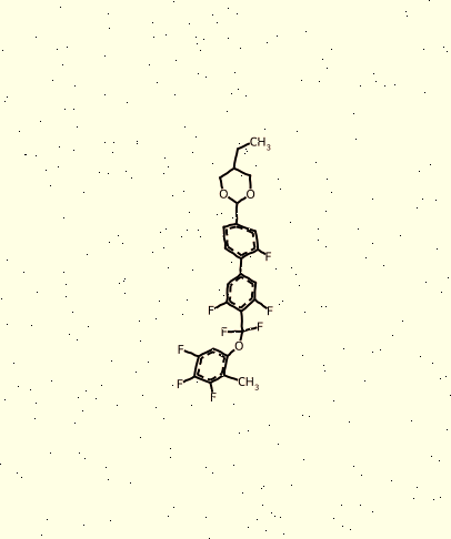 CCC1COC(c2ccc(-c3cc(F)c(C(F)(F)Oc4cc(F)c(F)c(F)c4C)c(F)c3)c(F)c2)OC1